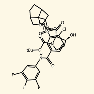 CC(C)(C)OC(=O)N1CC[C@H](O)[C@H]1C(=O)NC[C@]1(O)C2CCC1C[C@@H](S(=O)(=O)c1cc(C(=O)Nc3cc(F)c(F)c(F)c3)ccc1Cl)C2